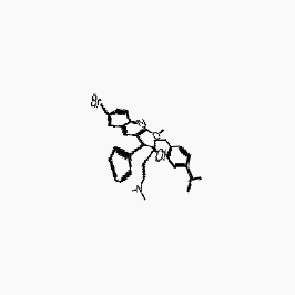 COc1nc2ccc(Br)cc2cc1C(c1ccccc1)C(O)(CCc1ccc(C(C)C)cc1)CCN(C)C